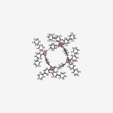 O=C1C2=C(c3ccc(-c4ccccc4)cc3)C(c3cccc(-c4ccccc4)c3)=C1c1ccc(cc1)C1=C(c3ccc(-c4ccccc4)cc3)C(c3cccc(-c4ccccc4)c3)=C(C1=O)c1ccc(cc1)C1=C(c3ccc(-c4ccccc4)cc3)C(c3cccc(-c4ccccc4)c3)=C(C1=O)c1ccc(cc1)C1=C(c3ccc(-c4ccccc4)cc3)C(c3cccc(-c4ccccc4)c3)=C(C1=O)c1ccc2cc1